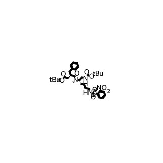 CN(C(=O)[C@@H](CC(=O)OC(C)(C)C)Cc1ccccc1)[C@@H](CCCCNS(=O)(=O)c1ccccc1[N+](=O)[O-])CNC(=O)OC(C)(C)C